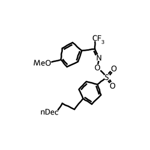 CCCCCCCCCCCCc1ccc(S(=O)(=O)ON=C(c2ccc(OC)cc2)C(F)(F)F)cc1